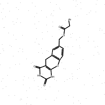 CC(C)CC(=O)OCc1ccc2c(c1)Cc1c([nH]c(=O)[nH]c1=O)O2